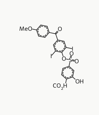 COc1ccc(C(=O)c2cc(I)c(OS(=O)(=O)c3ccc(C(=O)O)c(O)c3)c(I)c2)cc1